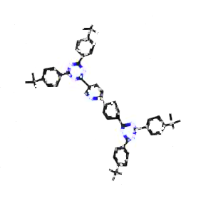 CC(C)(C)c1ccc(-c2nc(-c3ccc(-c4ccc(-c5nc(-c6ccc(C(C)(C)C)cc6)nc(-c6ccc(C(C)(C)C)cc6)n5)cn4)cc3)nc(-c3ccc(C(C)(C)C)cc3)n2)cc1